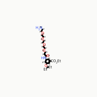 CCOC(=O)C1=C[C@@H](OC(CC)CC)[C@H](C)[C@@H](NC(=O)CCOCCOCCOCCOCCN)C1